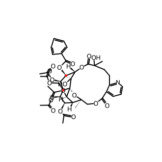 CC(=O)OC[C@]12[C@H](OC(C)=O)[C@H](OC(C)=O)[C@@H]3[C@@H](OC(C)=O)[C@@]14O[C@@]3(C)COC(=O)c1cccnc1CCC(C)(O)C(=O)O[C@@H]([C@H](OC(=O)c1ccccc1)[C@@H]2OC(C)=O)[C@]4(C)O